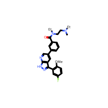 CCN(C)CCN(CC)C(=O)c1cccc(-c2cnc3[nH]nc(-c4cc(F)ccc4OC)c3c2)c1